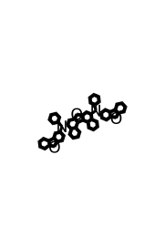 c1ccc(N(c2ccc3oc4ccccc4c3c2)c2cc3oc4cc(N(c5ccccc5)c5ccc6oc7ccccc7c6c5)c5ccccc5c4c3c3ccccc23)cc1